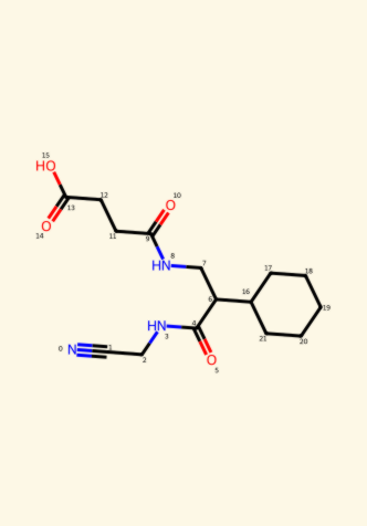 N#CCNC(=O)C(CNC(=O)CCC(=O)O)C1CCCCC1